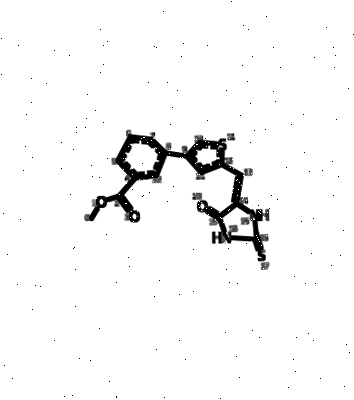 COC(=O)c1cccc(-c2csc(C=C3NC(=S)NC3=O)c2)c1